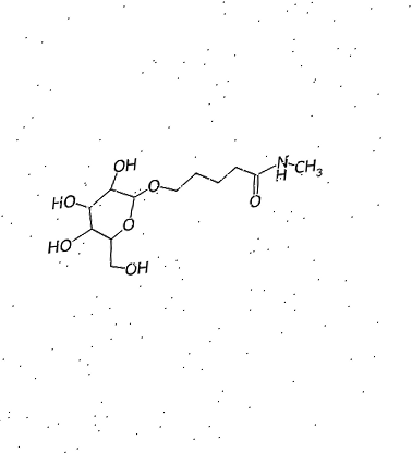 CNC(=O)CCCCOC1OC(CO)C(O)C(O)C1O